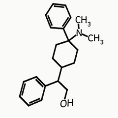 CN(C)C1(c2ccccc2)CCC(C(CO)c2ccccc2)CC1